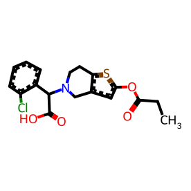 CCC(=O)Oc1cc2c(s1)CCN(C(C(=O)O)c1ccccc1Cl)C2